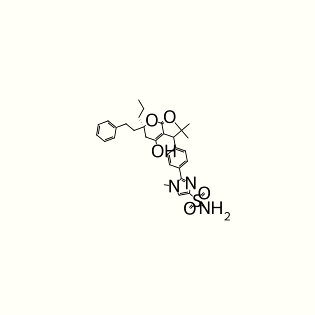 CCC[C@@]1(CCc2ccccc2)CC(O)=C(C(c2ccc(-c3nc(S(N)(=O)=O)cn3C)cc2)C(C)(C)C)C(=O)O1